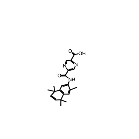 Cc1cc2c(cc1NC(=O)c1cnc(C(=O)O)cn1)C(C)(C)C=CC2(C)C